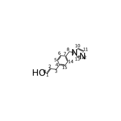 OC=CCc1ccc(Cn2ccnc2)cc1